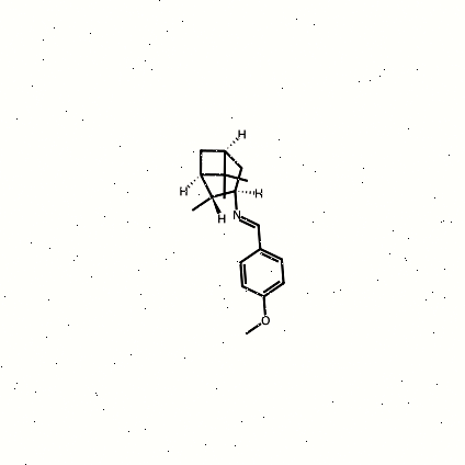 COc1ccc(/C=N/[C@@H]2C[C@@H]3C[C@H]([C@H]2C)C3(C)C)cc1